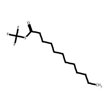 CCCCCCCCCCCC(=O)SC(F)(F)F